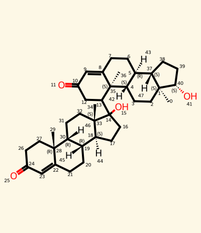 C[C@]12CC[C@H]3[C@@H](CCC4=CC(=O)CC(C5(O)CC[C@H]6[C@@H]7CCC8=CC(=O)CC[C@]8(C)[C@@H]7CC[C@@]65C)[C@@]43C)[C@@H]1CC[C@@H]2O